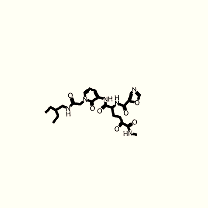 CCC(CC)CNC(=O)Cn1cccc(NC(=O)C(CCC(=O)C(=O)NC)NC(=O)c2cnco2)c1=O